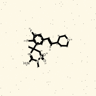 CN1C(N)=NC(C)(c2cc(C=C(F)C3CCOCC3)cc(F)c2F)CS1(=O)=O